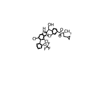 CC(CC1CC1)S(=O)(=O)c1ccc(C(CO)c2nc3c(Cl)c(-c4ccccc4OC(F)(F)F)c(Cl)cc3[nH]2)c(Cl)c1